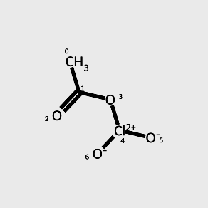 CC(=O)O[Cl+2]([O-])[O-]